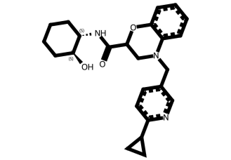 O=C(N[C@H]1CCCC[C@@H]1O)C1CN(Cc2ccc(C3CC3)nc2)c2ccccc2O1